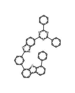 c1ccc(-c2nc(-c3ccccc3)nc(-c3ccc4sc(-c5cccc(-c6cccc7c6oc6c(-c8ccccc8)cccc67)c5)nc4c3)n2)cc1